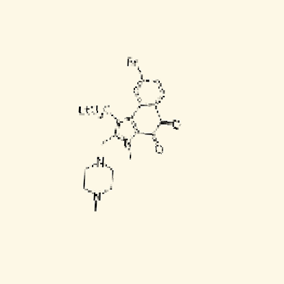 CCOC(=O)c1c2c(n(C)c1CN1CCN(C)CC1)C(=O)C(=O)c1ccc(Br)cc1-2